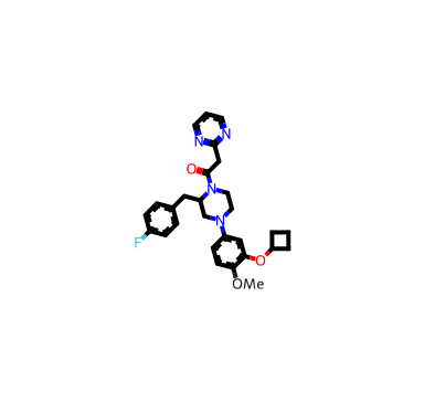 COc1ccc(N2CCN(C(=O)Cc3ncccn3)C(Cc3ccc(F)cc3)C2)cc1OC1CCC1